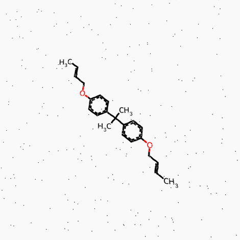 CC=CCOc1ccc(C(C)(C)c2ccc(OCC=CC)cc2)cc1